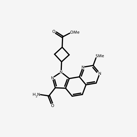 COC(=O)C1CC(n2nc(C(N)=O)c3ccc4cnc(SC)nc4c32)C1